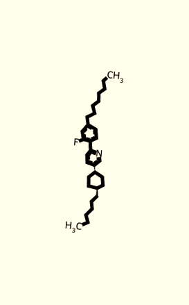 CCCCCCCCc1ccc(-c2ccc([C@H]3CC[C@H](CCCCCC)CC3)cn2)c(F)c1